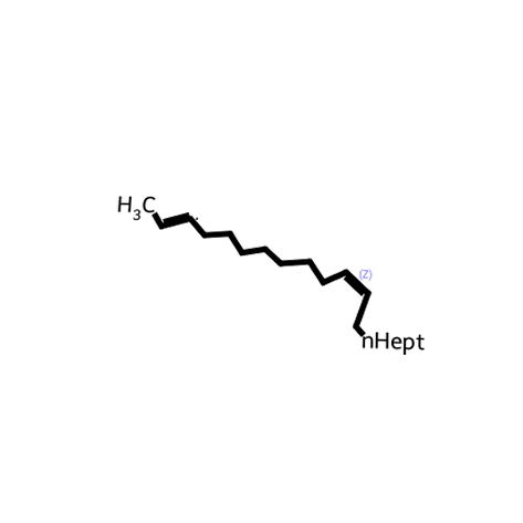 CC=[C]CCCCCCC/C=C\CCCCCCCC